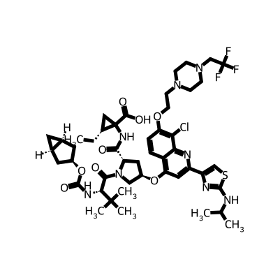 CC[C@@H]1CC1(NC(=O)[C@@H]1C[C@@H](Oc2cc(-c3csc(NC(C)C)n3)nc3c(Cl)c(OCCN4CCN(CC(F)(F)F)CC4)ccc23)CN1C(=O)[C@@H](NC(=O)O[C@@H]1C[C@@H]2C[C@@H]2C1)C(C)(C)C)C(=O)O